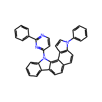 c1ccc(-c2nccc(-n3c4ccccc4c4ccc5ccc6c(ccn6-c6ccccc6)c5c43)n2)cc1